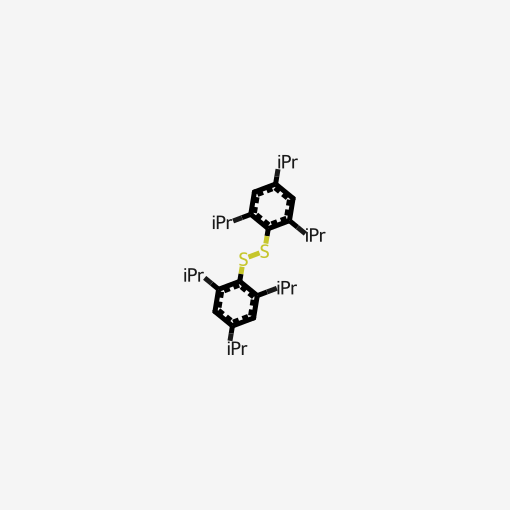 CC(C)c1cc(C(C)C)c(SSc2c(C(C)C)cc(C(C)C)cc2C(C)C)c(C(C)C)c1